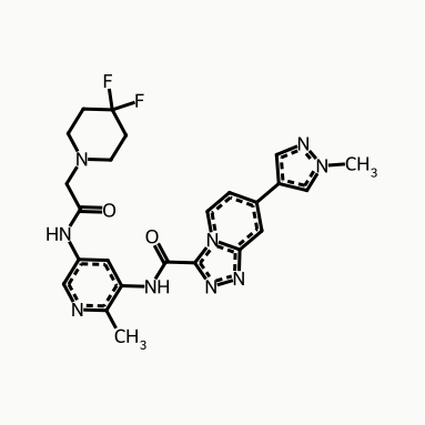 Cc1ncc(NC(=O)CN2CCC(F)(F)CC2)cc1NC(=O)c1nnc2cc(-c3cnn(C)c3)ccn12